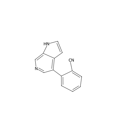 N#Cc1ccccc1-c1cncc2[nH]ccc12